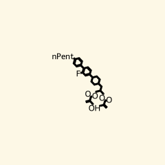 C=C(C)C(=O)OCC(COC(=O)C(=C)CO)CC1CCC(c2ccc(-c3ccc(CCCCC)cc3)c(F)c2)CC1